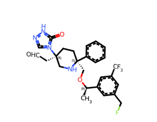 C[C@@H](OC[C@@]1(c2ccccc2)CC[C@](CC=O)(n2cn[nH]c2=O)CN1)c1cc(CF)cc(C(F)(F)F)c1